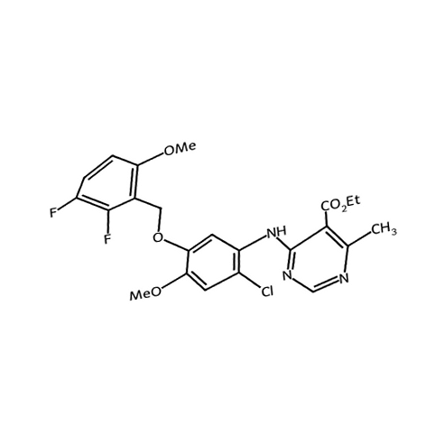 CCOC(=O)c1c(C)ncnc1Nc1cc(OCc2c(OC)ccc(F)c2F)c(OC)cc1Cl